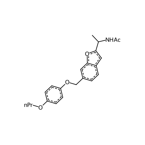 CCCOc1ccc(OCc2ccc3cc(C(C)NC(C)=O)oc3c2)cc1